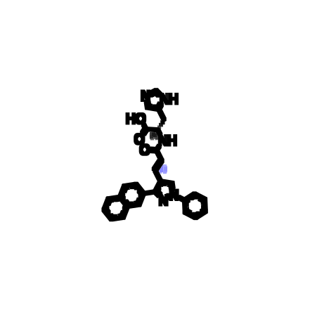 O=C(/C=C/c1cn(-c2ccccc2)nc1-c1ccc2ccccc2c1)N[C@@H](Cc1cnc[nH]1)C(=O)O